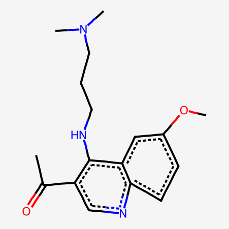 COc1ccc2ncc(C(C)=O)c(NCCCN(C)C)c2c1